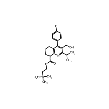 CC(C)c1nc2c(c(-c3ccc(F)cc3)c1CO)CCCN2C(=O)OCC[Si](C)(C)C